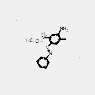 Cc1cc(N=Nc2ccccc2)c(N)cc1N.Cl.Cl